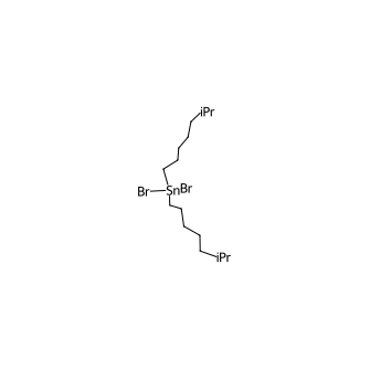 CC(C)CCCC[CH2][Sn]([Br])([Br])[CH2]CCCCC(C)C